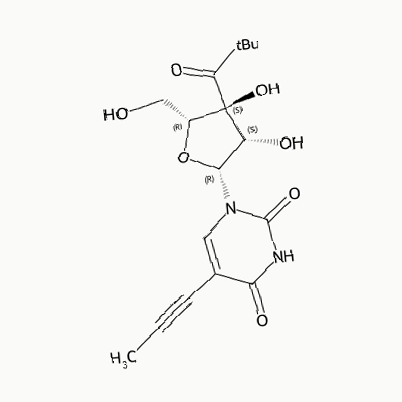 CC#Cc1cn([C@@H]2O[C@H](CO)[C@](O)(C(=O)C(C)(C)C)[C@@H]2O)c(=O)[nH]c1=O